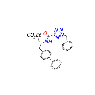 CCOC(=O)C[C@@H](Cc1ccc(-c2ccccc2)cc1)NC(=O)c1nnn(Cc2ccccc2)n1